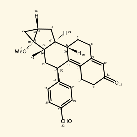 CO[C@]12C[C@@H]1C[C@H]1[C@@H]3CCC4=CC(=O)CCC4=C3[C@@H](c3ccc(C=O)cc3)C[C@@]12C